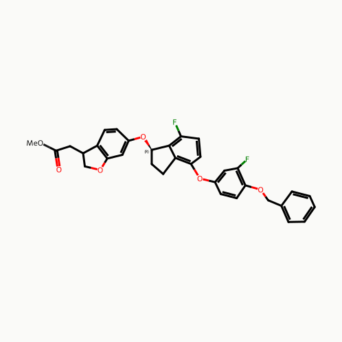 COC(=O)CC1COc2cc(O[C@@H]3CCc4c(Oc5ccc(OCc6ccccc6)c(F)c5)ccc(F)c43)ccc21